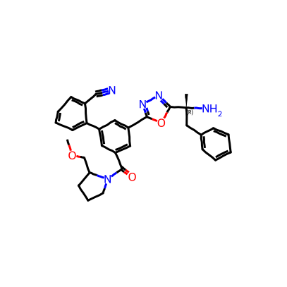 COCC1CCCN1C(=O)c1cc(-c2nnc([C@](C)(N)Cc3ccccc3)o2)cc(-c2ccccc2C#N)c1